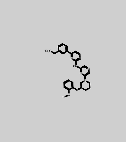 CCOc1ccccc1OC1CCCN(c2cncc(Nc3nccc(-c4cccc(CC(=O)O)c4)n3)n2)C1